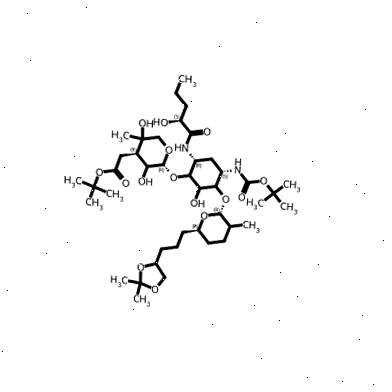 CCC[C@H](O)C(=O)N[C@@H]1C[C@H](NC(=O)OC(C)(C)C)C(O[C@H]2O[C@H](CCCC3COC(C)(C)O3)CCC2C)C(O)C1O[C@H]1OCC(C)(O)[C@H](CC(=O)OC(C)(C)C)C1O